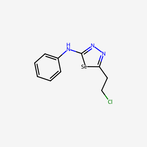 ClCCc1nnc(Nc2ccccc2)[se]1